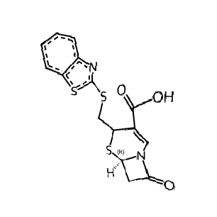 O=C(O)C1=CN2C(=O)C[C@H]2SC1CSc1nc2ccccc2s1